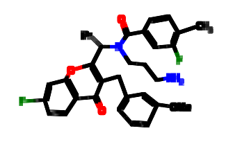 COc1cccc(Cc2c(C(C(C)C)N(CCCN)C(=O)c3ccc(C)c(F)c3)oc3cc(F)ccc3c2=O)c1